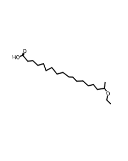 CCOC(C)CCCCCCCCCCCCCCCC(=O)O